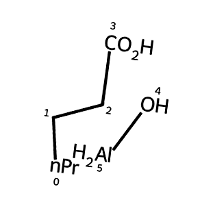 CCCCCC(=O)O.[OH][AlH2]